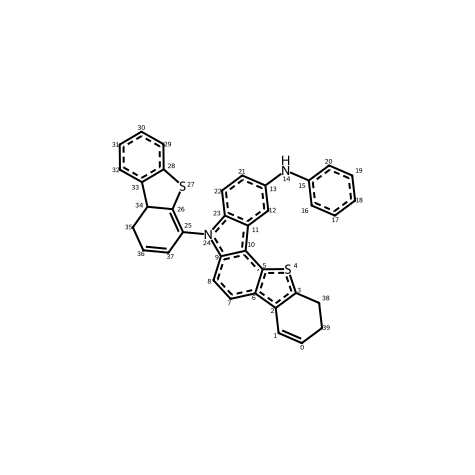 C1=Cc2c(sc3c2ccc2c3c3cc(Nc4ccccc4)ccc3n2C2=C3Sc4ccccc4C3CC=C2)CC1